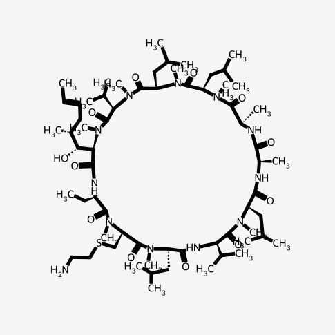 C/C=C/C[C@@H](C)[C@@H](O)[C@@H]1C(=O)N[C@H](CC)C(=O)N(C)[C@H](CSCCN)C(=O)N(C)[C@@H](CC(C)C)C(=O)N[C@H](C(C)C)C(=O)N(C)[C@H](CC(C)C)C(=O)N[C@H](C)C(=O)N[C@@H](C)C(=O)N(C)[C@H](CC(C)C)C(=O)N(C)[C@H](CC(C)C)C(=O)N(C)[C@H](C(C)C)C(=O)N1C